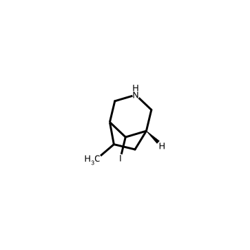 CC1C[C@H]2CNCC1C2I